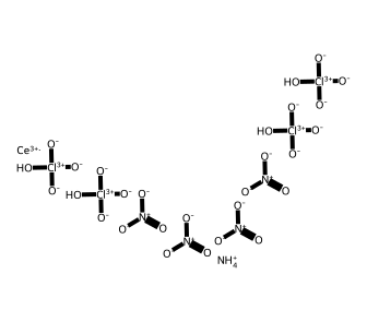 O=[N+]([O-])[O-].O=[N+]([O-])[O-].O=[N+]([O-])[O-].O=[N+]([O-])[O-].[Ce+3].[NH4+].[O-][Cl+3]([O-])([O-])O.[O-][Cl+3]([O-])([O-])O.[O-][Cl+3]([O-])([O-])O.[O-][Cl+3]([O-])([O-])O